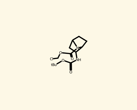 CC(C)(C)OC(=O)NC1CC2CCC1N2C(=O)OCCl